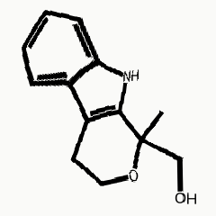 CC1(CO)OCCc2c1[nH]c1ccccc21